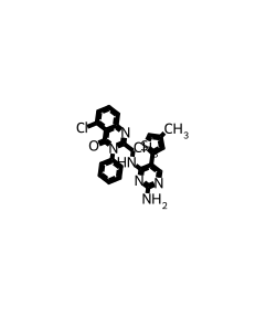 Cc1csc(-c2cnc(N)nc2NC(C)c2nc3cccc(Cl)c3c(=O)n2-c2ccccc2)c1